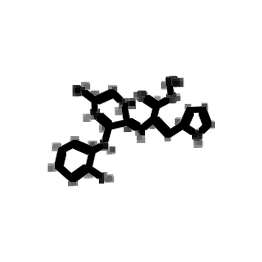 CC(C)(C)OC(=O)C(=C\c1ccco1)/N=c1\[nH]cc(Br)nc1Sc1ccccc1F